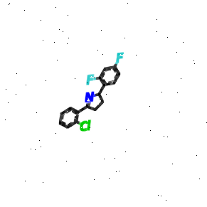 Fc1ccc(C2CCC(c3ccccc3Cl)=N2)c(F)c1